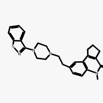 Cn1c(=O)c2c(c3cc(CCN4CCN(c5nsc6ccccc56)CC4)ccc31)CCC2